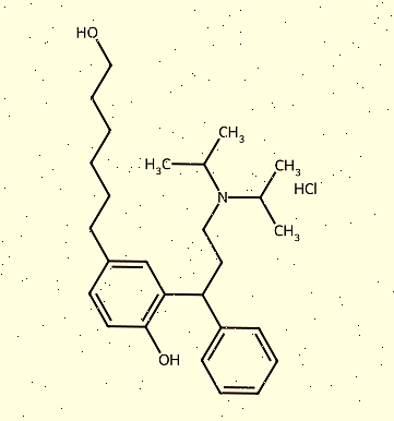 CC(C)N(CCC(c1ccccc1)c1cc(CCCCCCO)ccc1O)C(C)C.Cl